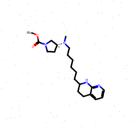 CN(CCCCCCC1CCc2cccnc2N1)[C@@H]1CCN(C(=O)OC(C)(C)C)C1